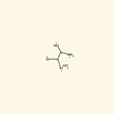 CCC(CC)C(N)O.Cl